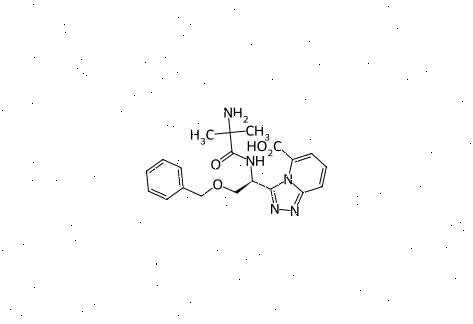 CC(C)(N)C(=O)N[C@H](COCc1ccccc1)c1nnc2cccc(C(=O)O)n12